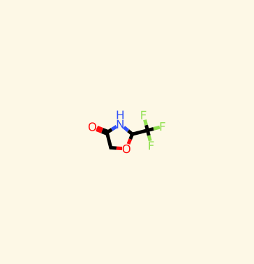 O=C1COC(C(F)(F)F)N1